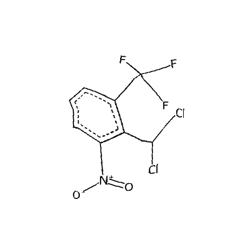 O=[N+]([O-])c1cccc(C(F)(F)F)c1C(Cl)Cl